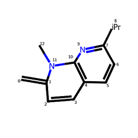 C=C1C=Cc2ccc(C(C)C)nc2N1C